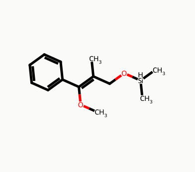 CO/C(=C(/C)CO[SiH](C)C)c1ccccc1